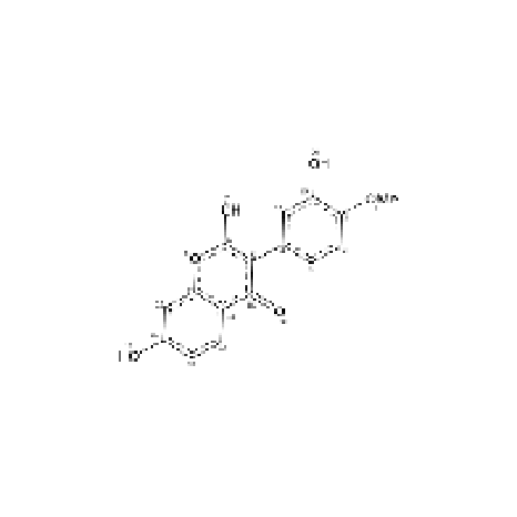 COc1ccc(-c2c(O)oc3cc(O)ccc3c2=O)cc1O